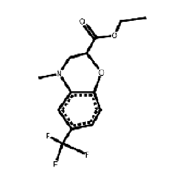 CCOC(=O)C1CN(C)c2cc(C(F)(F)F)ccc2O1